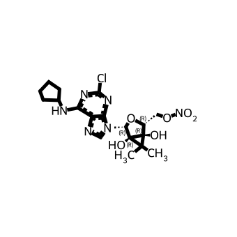 CC1(C)[C@]2(O)[C@H](n3cnc4c(NC5CCCC5)nc(Cl)nc43)O[C@H](CO[N+](=O)[O-])[C@]12O